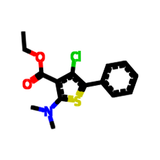 CCOC(=O)c1c(N(C)C)sc(-c2ccccc2)c1Cl